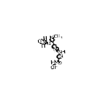 Cc1cc(-c2ccn3nc(Nc4ccc(C(=O)NCCO)cn4)cc3c2)c(O[C@H]2C[C@H]3COC[C@@H](C2)N3)cn1